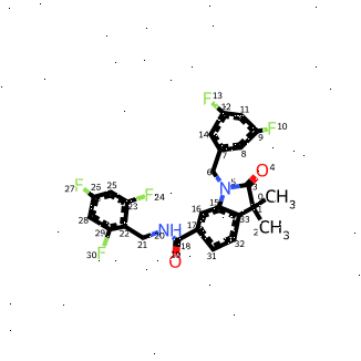 CC1(C)C(=O)N(Cc2cc(F)cc(F)c2)c2cc(C(=O)NCc3c(F)cc(F)cc3F)ccc21